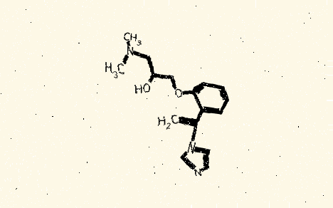 C=C(c1ccccc1OCC(O)CN(C)C)n1ccnc1